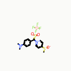 CN(C)c1ccc(C([n+]2ccc([S+](C)[O-])cc2)=S(=O)=O)cc1.F[B-](F)(F)F